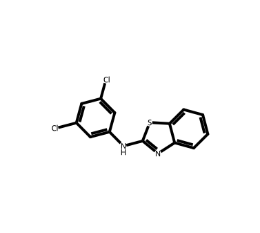 Clc1cc(Cl)cc(Nc2nc3ccccc3s2)c1